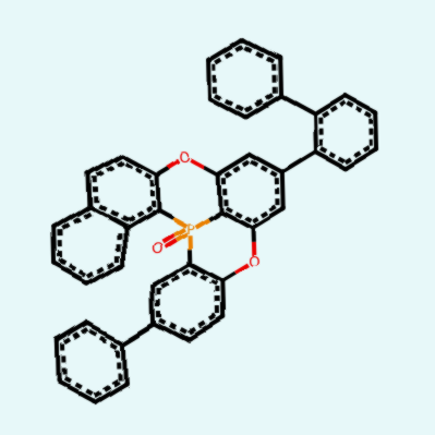 O=P12c3cc(-c4ccccc4)ccc3Oc3cc(-c4ccccc4-c4ccccc4)cc(c31)Oc1ccc3ccccc3c12